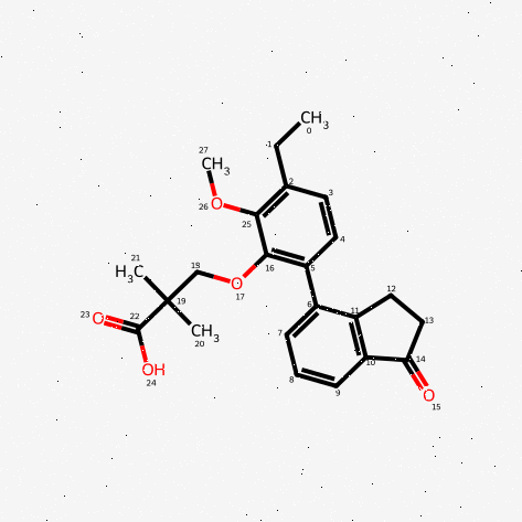 CCc1ccc(-c2cccc3c2CCC3=O)c(OCC(C)(C)C(=O)O)c1OC